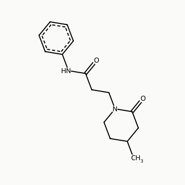 CC1CCN(CCC(=O)Nc2ccccc2)C(=O)C1